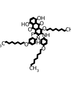 CCCCCCCCOc1ccc(Nc2c(F)c3c(c(OCCCCCCCC)c2Nc2ccc(OCCCCCCCC)cc2)C(=O)c2c(O)ccc(O)c2C3=O)cc1